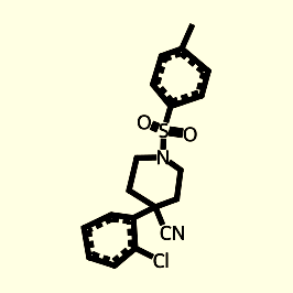 Cc1ccc(S(=O)(=O)N2CCC(C#N)(c3ccccc3Cl)CC2)cc1